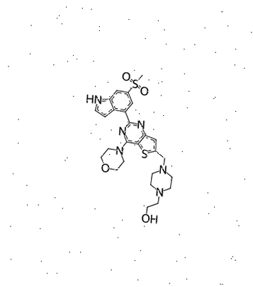 CS(=O)(=O)c1cc(-c2nc(N3CCOCC3)c3sc(CN4CCN(CCO)CC4)cc3n2)c2cc[nH]c2c1